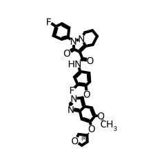 COc1cc2c(Oc3ccc(NC(=O)c4c5n(n(-c6ccc(F)cc6)c4=O)CCCC5)cc3F)ncnc2cc1O[C@@H]1CCOC1